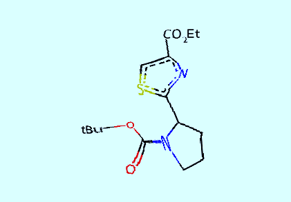 CCOC(=O)c1csc(C2CCCN2C(=O)OC(C)(C)C)n1